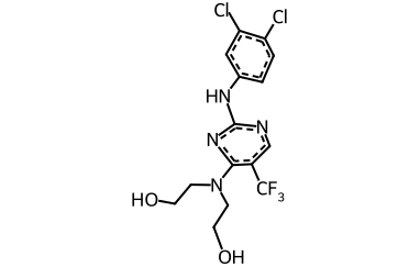 OCCN(CCO)c1nc(Nc2ccc(Cl)c(Cl)c2)ncc1C(F)(F)F